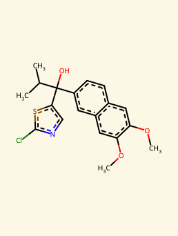 COc1cc2ccc(C(O)(c3cnc(Cl)s3)C(C)C)cc2cc1OC